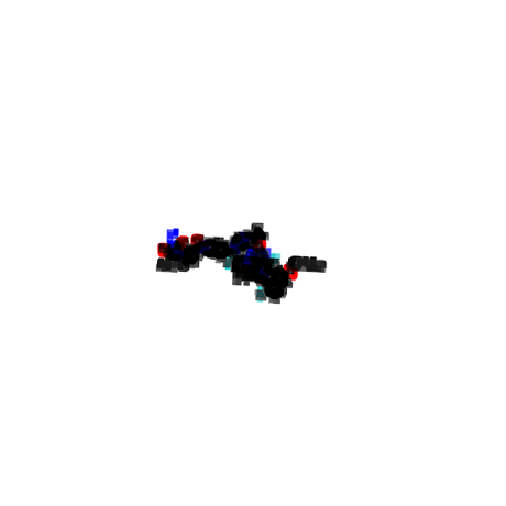 COCOc1cc(-c2ncc3c(N4CCCC(F)(F)C4)nc(OCC4(CN5CCN(CC6CCC7(CC6)CCN(C(=O)c6ccc(OC)c(N8CCC(=O)NC8=O)c6)CC7)CC5)CC4)nc3c2F)c2c(C#C[Si](C(C)C)(C(C)C)C(C)C)c(F)ccc2c1